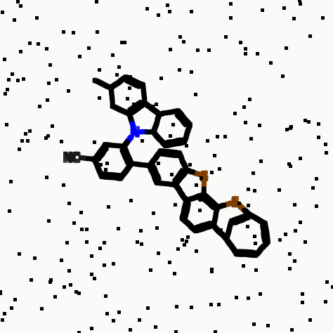 CC1C=CC2=C(C1)N(c1cc(C#N)ccc1-c1ccc3sc4c5c(ccc4c3c1)C1C=CC=CC(=C1)S5)C1C=CC=CC21